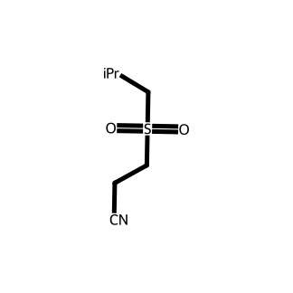 CC(C)CS(=O)(=O)CCC#N